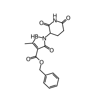 CC1=C(C(=O)OCc2ccccc2)C(=O)N(C2CCC(=O)NC2=O)B1